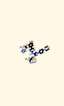 COCC(C)(C)COc1nn(C2CCC(N3CCOCC3)CC2)cc1Nc1ncc(-c2ccc(C#N)c(OC(C)Cn3cnnn3)c2)cn1